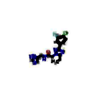 CCc1nc(-c2ccc(Cl)c(F)c2)nn1CC(=O)NCc1cnc[nH]1